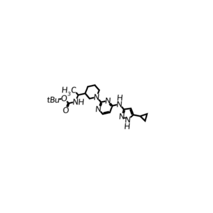 CC(NC(=O)OC(C)(C)C)C1CCCN(c2nccc(Nc3cc(C4CC4)[nH]n3)n2)C1